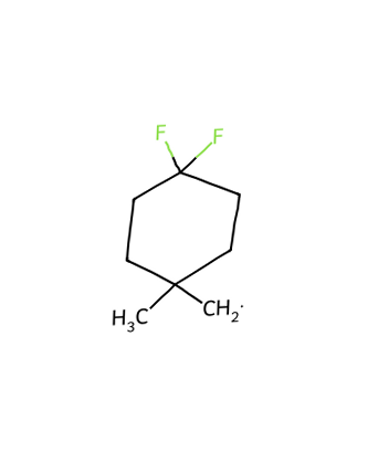 [CH2]C1(C)CCC(F)(F)CC1